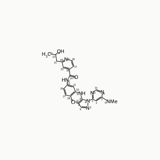 CNc1cc(-n2nccc2Nc2cc(NC(=O)c3ccnc(CC(C)O)c3)ccc2C)ncn1